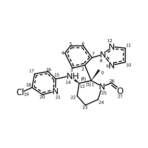 C[C@]1(c2ccccc2-n2nccn2)[C@H](Nc2ccc(Cl)cn2)CCCN1C=O